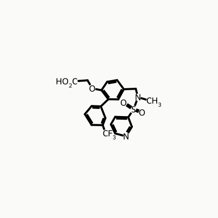 CN(Cc1ccc(OCC(=O)O)c(-c2cccc(C(F)(F)F)c2)c1)S(=O)(=O)c1cccnc1